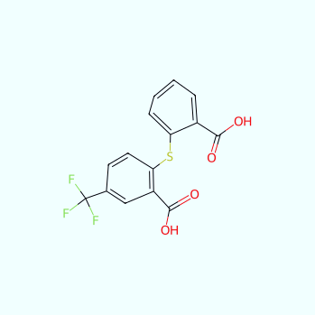 O=C(O)c1ccccc1Sc1ccc(C(F)(F)F)cc1C(=O)O